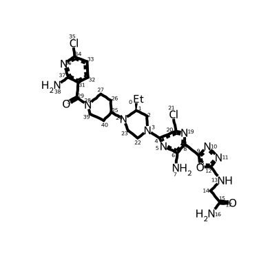 CC[C@H]1CN(c2nc(N)c(-c3nnc(NCC(N)=O)o3)nc2Cl)CCN1C1CCN(C(=O)c2ccc(Cl)nc2N)CC1